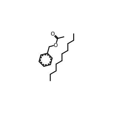 CC(=O)OCc1ccccc1.CCCCCCCCCC